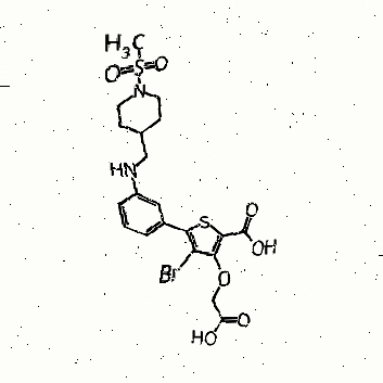 CS(=O)(=O)N1CCC(CNc2cccc(-c3sc(C(=O)O)c(OCC(=O)O)c3Br)c2)CC1